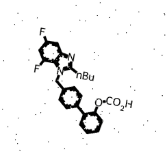 CCCCc1nc2cc(F)cc(F)c2n1Cc1ccc(-c2ccccc2OC(=O)O)cc1